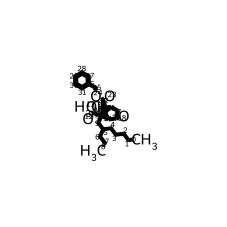 CCCCCC(CCC)CC1(C(=O)O)C2CC(C3OC32)C1(C)C(=O)OCc1ccccc1